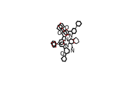 N#Cc1c2c(c(-n3c4ccc(-c5ccccc5)cc4c4c5oc6ccccc6c5ccc43)c(-n3c4ccc(-c5ccccc5)cc4c4c5oc6ccccc6c5ccc43)c1-n1c3ccc(-c4ccccc4)cc3c3c4oc5ccccc5c4ccc31)C1CCC2CC1